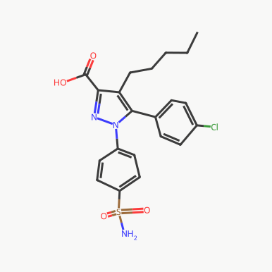 CCCCCc1c(C(=O)O)nn(-c2ccc(S(N)(=O)=O)cc2)c1-c1ccc(Cl)cc1